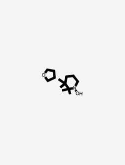 C1CCOC1.CC1(C)CCCN(O)C1(C)C